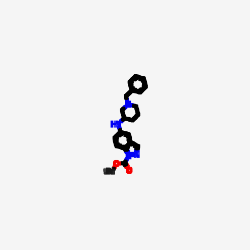 CC(C)(C)OC(=O)n1ncc2cc(NC3CCCN(Cc4ccccc4)C3)ccc21